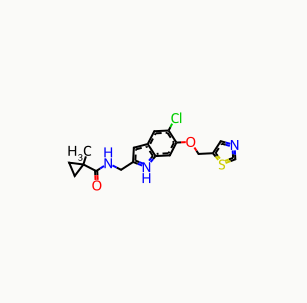 CC1(C(=O)NCc2cc3cc(Cl)c(OCc4cncs4)cc3[nH]2)CC1